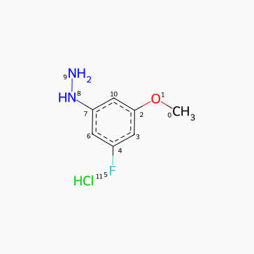 COc1cc(F)cc(NN)c1.Cl